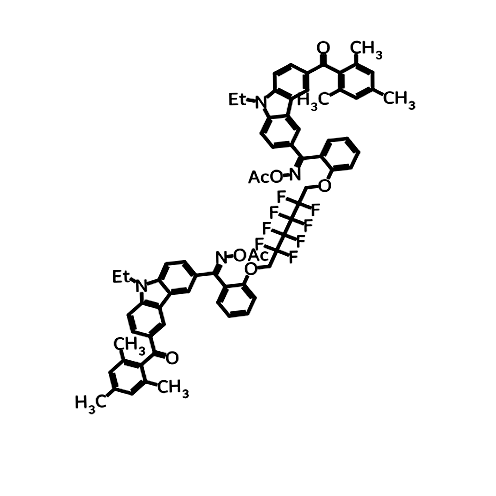 CCn1c2ccc(C(=O)c3c(C)cc(C)cc3C)cc2c2cc(C(=NOC(C)=O)c3ccccc3OCC(F)(F)C(F)(F)C(F)(F)C(F)(F)COc3ccccc3C(=NOC(C)=O)c3ccc4c(c3)c3cc(C(=O)c5c(C)cc(C)cc5C)ccc3n4CC)ccc21